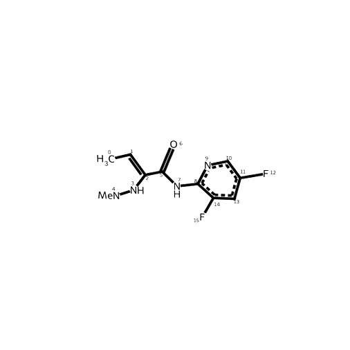 C/C=C(\NNC)C(=O)Nc1ncc(F)cc1F